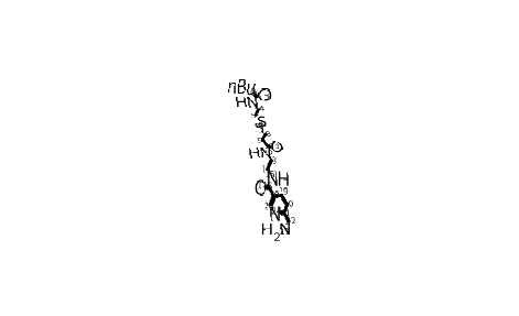 CCCCC(=O)NCCSSCCC(=O)NCCNC(=O)c1ccc(CN)nc1